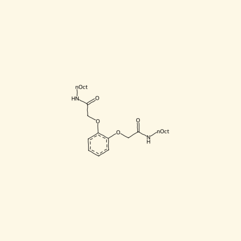 CCCCCCCCNC(=O)COc1ccccc1OCC(=O)NCCCCCCCC